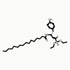 CCCCCCCCCCCCCCCC(=O)N[C@@H](/C=C(\F)P(=O)(OCC)OCC)Cc1ccc(O)cc1